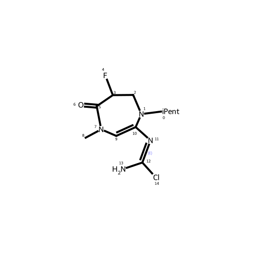 CCCC(C)N1CC(F)C(=O)N(C)C=C1/N=C(\N)Cl